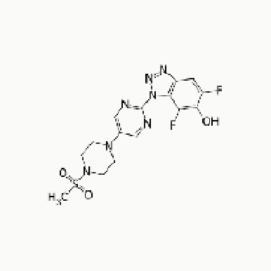 CS(=O)(=O)N1CCN(c2cnc(-n3nnc4cc(F)c(O)c(F)c43)nc2)CC1